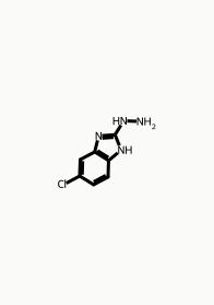 NNc1nc2cc(Cl)ccc2[nH]1